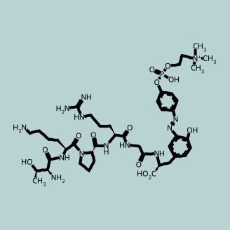 C[C@@H](O)[C@H](N)C(=O)N[C@@H](CCCCN)C(=O)N1CCC[C@H]1C(=O)N[C@@H](CCCNC(=N)N)C(=O)NCC(=O)N[C@@H](Cc1ccc(O)c(/N=N/c2ccc(OP(=O)(O)OCC[N+](C)(C)C)cc2)c1)C(=O)O